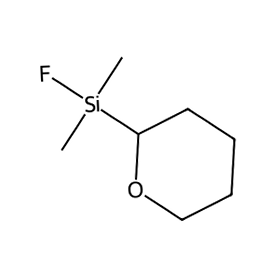 C[Si](C)(F)C1CCCCO1